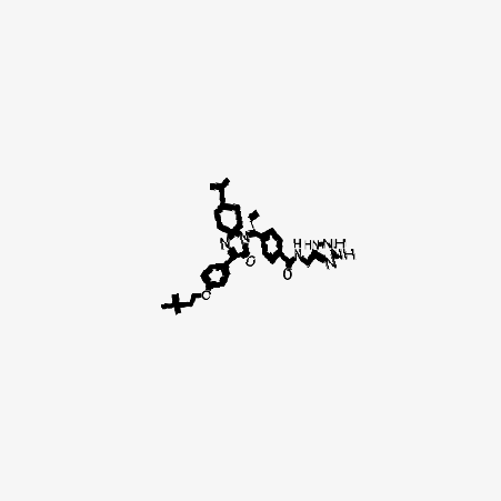 CC[C@H](c1ccc(C(=O)NCC2=NNNN2)cc1)N1C(=O)C(c2ccc(OCCC(C)(C)C)cc2)=NC12CCC(C(C)C)CC2